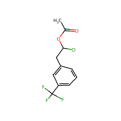 CC(=O)OC(Cl)Cc1cccc(C(F)(F)F)c1